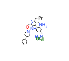 Cc1nc(CC(C)C)c(CN)c(-c2ccc(CN)cc2)c1NC(=O)N1CCC(c2ccccc2)CC1.Cl.Cl